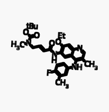 CCOc1cc2ncc(C)c(Nc3ccc(F)c(C)c3)c2cc1NC(=O)/C=C/CN(C)C(=O)OC(C)(C)C